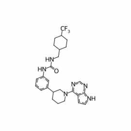 O=C(NCC1CCC(C(F)(F)F)CC1)Nc1cccc(C2CCCN(c3ncnc4[nH]ccc34)C2)c1